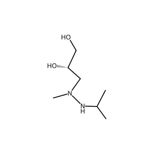 CC(C)NN(C)C[C@H](O)CO